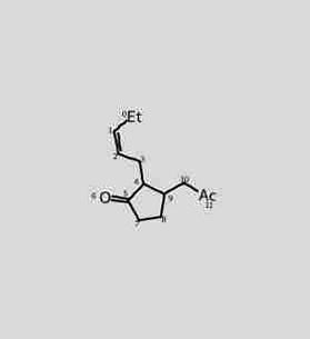 CC/C=C\CC1C(=O)CCC1CC(C)=O